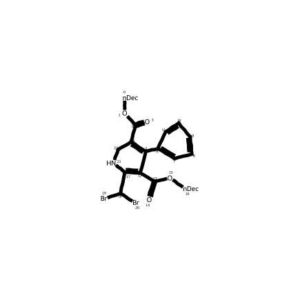 CCCCCCCCCCOC(=O)C1=C(c2ccccc2)C(C(=O)OCCCCCCCCCC)=C(C(Br)Br)NC1